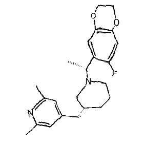 Cc1cc(C[C@H]2CCCN([C@H](C)c3cc4c(cc3F)OCCO4)C2)cc(C)n1